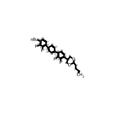 C=CCCC1OCC(c2ccc(-c3ccc(-c4ccc(CCCC)c(F)c4F)cc3)c(F)c2F)CO1